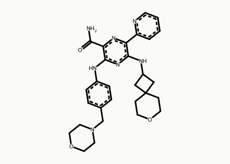 NC(=O)c1nc(-c2ccccn2)c(NC2CC3(CCOCC3)C2)nc1Nc1ccc(CN2CCOCC2)cc1